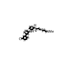 CNCCCNCCC(=O)Nc1cc(Nc2cnnc(-c3cc(Cl)ccc3F)c2)ccn1